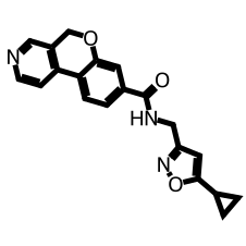 O=C(NCc1cc(C2CC2)on1)c1ccc2c(c1)OCc1cnccc1-2